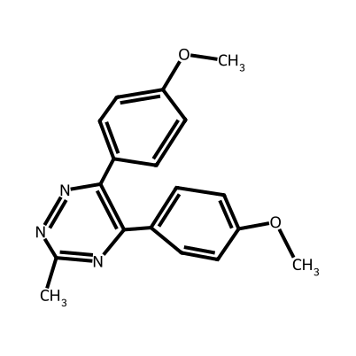 COc1ccc(-c2nnc(C)nc2-c2ccc(OC)cc2)cc1